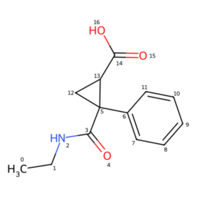 CCNC(=O)C1(c2ccccc2)CC1C(=O)O